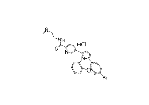 CN(C)CCNC(=O)c1ccc(-c2ccc(-c3ccc(Br)cc3)n2-c2ccccc2C(F)(F)F)cn1.Cl